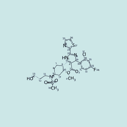 COC(=O)C1=C([C@H]2CC[C@H](N(CCCO)S(C)(=O)=O)CC2)NC(c2nccs2)=NC1c1ccc(F)cc1Cl